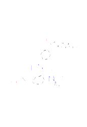 CNC(=O)c1ccc(NC2c3cc(C4=CCOCC4)ccc3N(C(C)=O)C(C3CC3)[C@H]2C)cc1